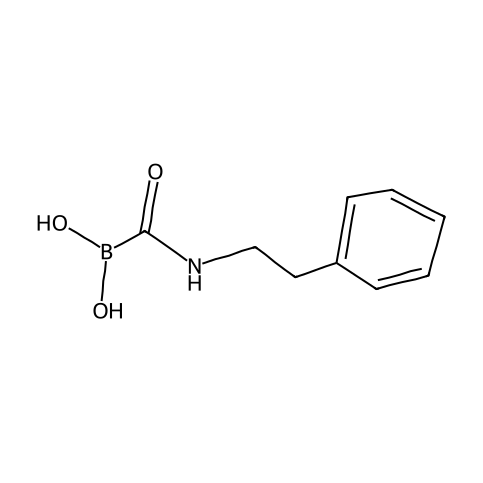 O=C(NCCc1ccccc1)B(O)O